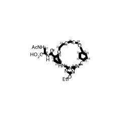 CCOc1nc2nc(n1)Nc1ccc(C(=O)N[C@@H](CNC(C)=O)C(=O)O)c(c1)OCCCCCCOc1ccc(cc1)CN2